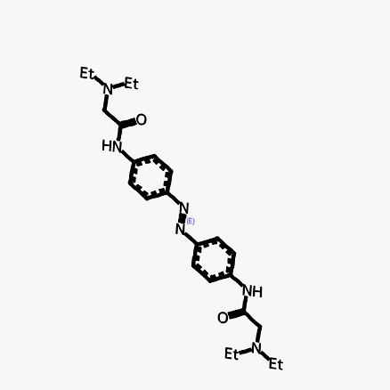 CCN(CC)CC(=O)Nc1ccc(/N=N/c2ccc(NC(=O)CN(CC)CC)cc2)cc1